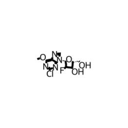 COc1nc(Cl)nc2c1ncn2[C@@H]1O[C@H](CO)[C@H](O)C1F